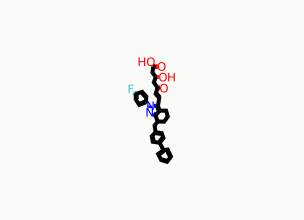 O=C(O)CC(O)CC(=O)C=Cc1c2c(nn1-c1ccc(F)cc1)C(Cc1ccc(-c3ccccc3)cc1)CCC2